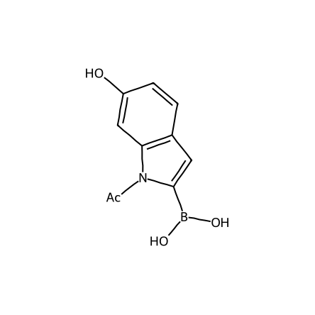 CC(=O)n1c(B(O)O)cc2ccc(O)cc21